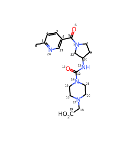 Cc1ccc(C(=O)N2CCC(NC(=O)N3CCN(CC(=O)O)CC3)C2)cn1